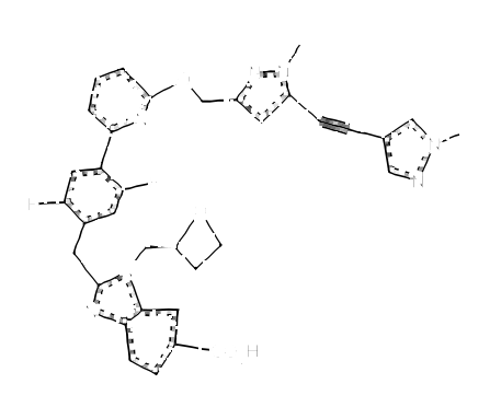 Cn1cc(C#Cc2cc(COc3cccc(-c4cc(F)c(Cc5nc6ccc(C(=O)O)cc6n5C[C@@H]5CCO5)cc4F)n3)nn2C)cn1